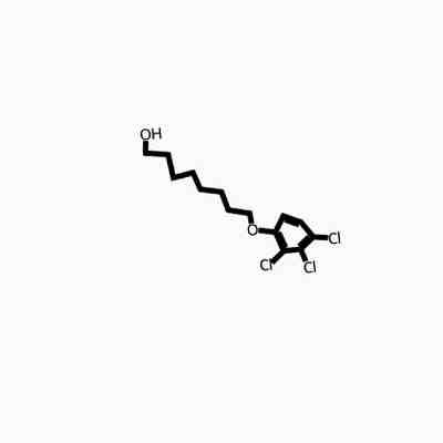 OCCCCCCCCOc1ccc(Cl)c(Cl)c1Cl